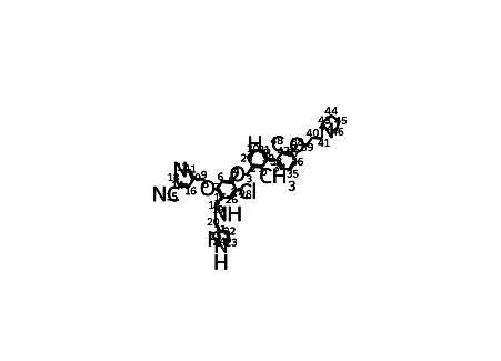 Cc1c(COc2cc(OCc3cncc(C#N)c3)c(CNCc3cc[nH]n3)cc2Cl)cccc1-c1cccc(OCCCN2CCCC2)c1C